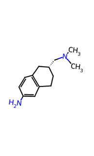 CN(C)C[C@@H]1CCc2cc(N)ccc2C1